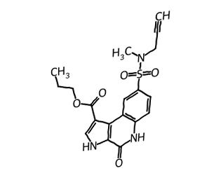 C#CCN(C)S(=O)(=O)c1ccc2[nH]c(=O)c3[nH]cc(C(=O)OCCC)c3c2c1